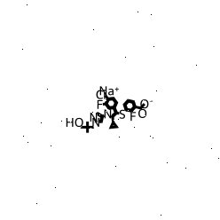 CC(C)(CO)Cn1cc(-n2c(C3CC3)c(Sc3cccc(C(=O)[O-])c3F)c3ccc(Cl)c(F)c32)cn1.[Na+]